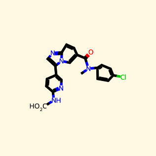 CN(C(=O)c1ccc2ncc(-c3ccc(NC(=O)O)nc3)n2c1)c1ccc(Cl)cc1